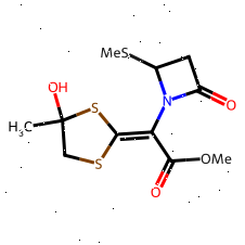 COC(=O)C(=C1SCC(C)(O)S1)N1C(=O)CC1SC